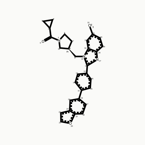 O=C(C1CC1)N1CC[C@@H](Cn2c(-c3ccc(-c4ccc5occc5c4)cc3)nc3ccc(C(F)(F)F)cc32)C1